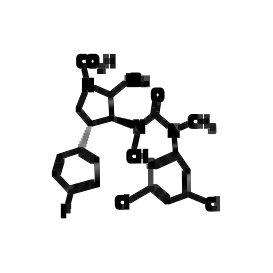 CN(C(=O)N(C)[C@@H]1C(C(C)(C)C)N(C(=O)O)C[C@H]1c1ccc(F)cc1)c1cc(Cl)cc(Cl)c1